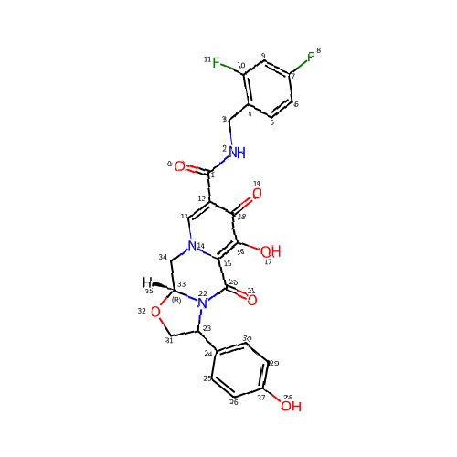 O=C(NCc1ccc(F)cc1F)c1cn2c(c(O)c1=O)C(=O)N1C(c3ccc(O)cc3)CO[C@@H]1C2